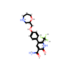 NC(=O)c1cc(-c2ccc(OCC3CNCCCO3)cc2)c(C(F)(F)F)[nH]c1=O